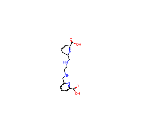 O=C(O)C1=NC(CNCCNCc2cccc(C(=O)O)n2)CC=C1